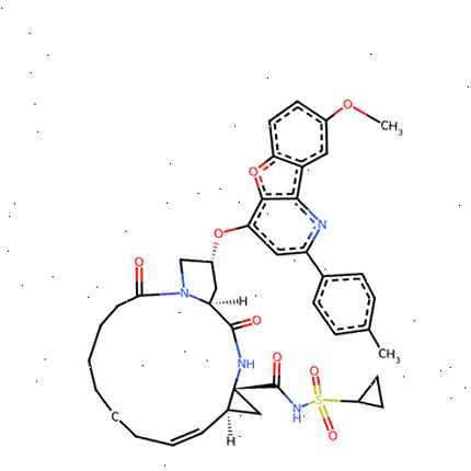 COc1ccc2oc3c(O[C@@H]4C[C@H]5C(=O)N[C@]6(C(=O)NS(=O)(=O)C7CC7)C[C@H]6/C=C\CCCCCCC(=O)N5C4)cc(-c4ccc(C)cc4)nc3c2c1